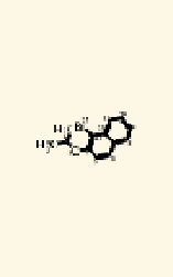 CC(C)Oc1ccc2ccccc2c1Br